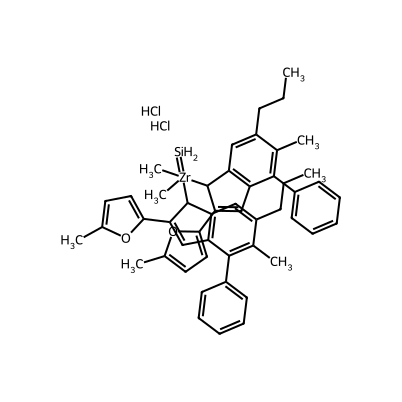 CCCc1cc2c(c(-c3ccccc3)c1C)C=C(c1ccc(C)o1)[CH]2[Zr]([CH3])([CH3])(=[SiH2])[CH]1C(c2ccc(C)o2)=Cc2c1cc(CCC)c(C)c2-c1ccccc1.Cl.Cl